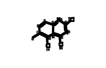 Cc1ccc2nc(Cl)nc(Cl)c2c1Cl